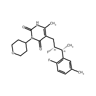 Cc1ccc(F)c([C@@H](C)[C@H](F)Cc2c(C)[nH]c(=O)n(C3CCOCC3)c2=O)c1